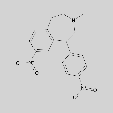 CN1CCc2ccc([N+](=O)[O-])cc2C(c2ccc([N+](=O)[O-])cc2)C1